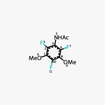 COc1c(F)c(NC(C)=O)c(F)c(OC)c1F